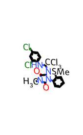 CSc1ccccc1N1C(=O)N(C)C(=O)C1=NC(Nc1ccc(Cl)cc1Cl)C(Cl)(Cl)Cl